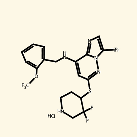 CC(C)c1cnc2c(NCc3ccccc3OC(F)(F)F)cc(SC3CCNCC3(F)F)nn12.Cl